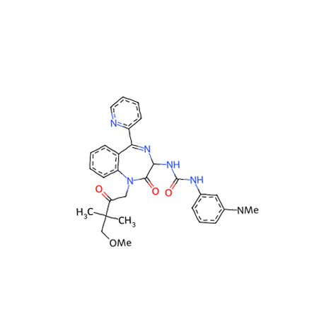 CNc1cccc(NC(=O)NC2N=C(c3ccccn3)c3ccccc3N(CC(=O)C(C)(C)COC)C2=O)c1